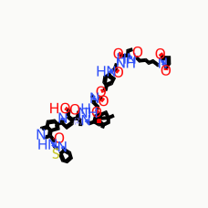 CCC(NC(=O)CCCCCN1C(=O)C=CC1=O)C(=O)NCC(=O)Nc1ccc(COC(=O)N(C)CCOC23CC4(C)CC(C)(CC(CN/C(C)=C(\C=N)c5ccc(-c6ccc7cncc(C(=O)Nc8nc9ccccc9s8)c7c6)nc5C(=O)O)(C4)C2)C3)cc1